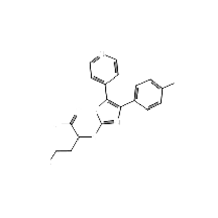 O=C(O)C(CCO)Sc1nc(-c2ccc(F)cc2)c(-c2ccncc2)[nH]1